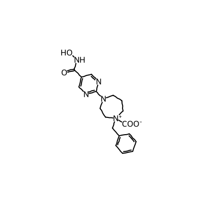 O=C(NO)c1cnc(N2CCC[N+](Cc3ccccc3)(C(=O)[O-])CC2)nc1